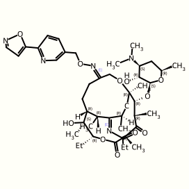 CCC(=O)/N=C1\[C@H](C)C[C@@]2(C)OC/C(=N/OCc3ccc(-c4ccno4)nc3)CC[C@H]([C@H]1C)[C@](C)(O)[C@@H](CC)OC(=O)[C@H](C)C(=O)[C@H](C)[C@H]2O[C@@H]1O[C@H](C)C[C@H](N(C)C)[C@H]1O